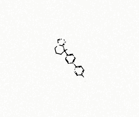 OC1(c2ccc(-c3ccc(F)cc3)cc2)CCCn2cncc21